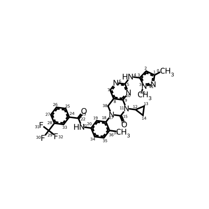 Cc1cc(Nc2ncc3c(n2)N(C2CC2)C(=O)N(c2cc(NC(=O)c4cccc(C(F)(F)F)c4)ccc2C)C3)n(C)n1